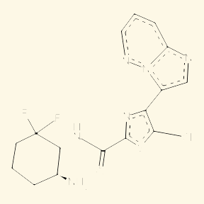 N[C@H]1CCCC(F)(F)[C@@H]1NC(=O)c1nc(-c2cnc3cccnn23)c(Cl)s1